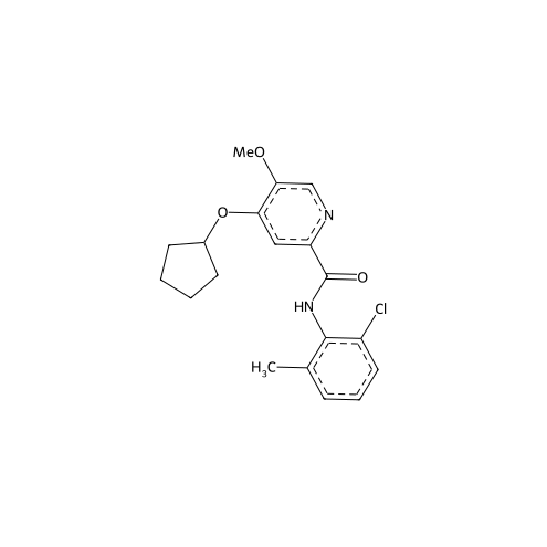 COc1cnc(C(=O)Nc2c(C)cccc2Cl)cc1OC1CCCC1